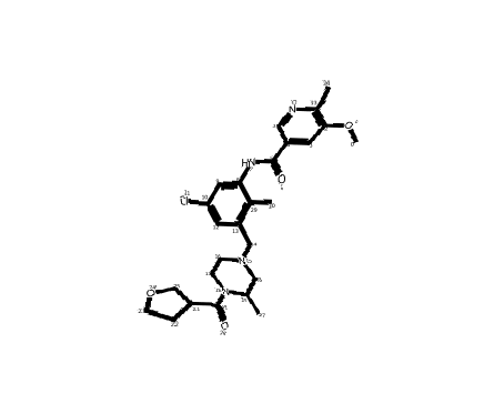 COc1cc(C(=O)Nc2cc(Cl)cc(CN3CCN(C(=O)C4CCOC4)C(C)C3)c2C)cnc1C